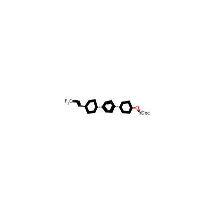 CCCCCCCCCCO[C@H]1CC[C@H](c2ccc([C@H]3CC[C@H](C=CC(F)(F)F)CC3)cc2)CC1